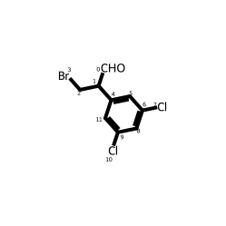 O=CC(CBr)c1cc(Cl)cc(Cl)c1